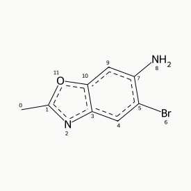 Cc1nc2cc(Br)c(N)cc2o1